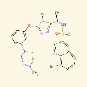 CCn1c(Oc2cccc(N3CCN(C)CC3)c2)nnc1[C@@H](C)NS(=O)(=O)c1ccc2c(Br)cccc2c1